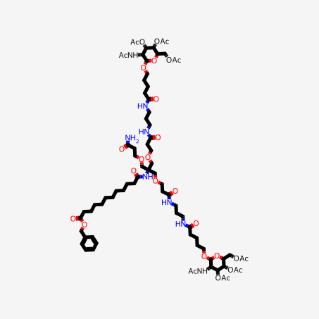 CC(=O)NC1C(OCCCCC(=O)NCCCNC(=O)CCOCC(COCCC(N)=O)(COCCC(=O)NCCCNC(=O)CCCCOC2OC(COC(C)=O)C(OC(C)=O)C(OC(C)=O)C2NC(C)=O)NC(=O)CCCCCCCCCCC(=O)OCc2ccccc2)OC(COC(C)=O)C(OC(C)=O)C1OC(C)=O